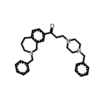 O=C(CCN1CCN(Cc2ccccc2)CC1)c1ccc2c(c1)CN(Cc1ccccc1)CCC2